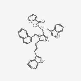 O=C(N[C@H](Cc1c[nH]c2ccccc12)C1=NNC(CCCc2c[nH]c3ccccc23)N1Cc1cccc2ccccc12)c1ccccn1